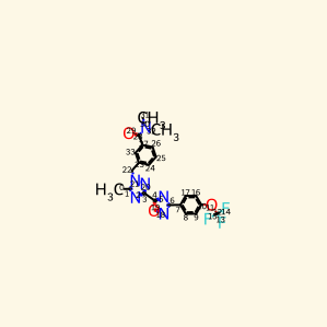 Cc1nc(-c2nc(-c3ccc(OC(F)(F)F)cc3)no2)nn1Cc1cccc(C(=O)N(C)C)c1